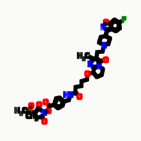 C=S(C)(=O)C1CC(=O)N(OC(=O)c2ccc(CNC(=O)CCCCOC3CCCn4c3nc(C)c(CCN3CCC(c5noc6cc(F)ccc56)CC3)c4=O)cc2)C1=O